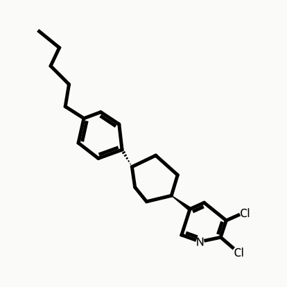 CCCCCc1ccc([C@H]2CC[C@H](c3cnc(Cl)c(Cl)c3)CC2)cc1